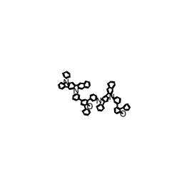 c1ccc(-n2c3ccccc3c3cc4c(cc32)c2cc3ccccc3cc2n4-c2cccc(-c3cc(-c4cccc(-n5c6ccccc6c6cc7c(cc65)c5cc6ccccc6cc5n7-c5cccc(-c6cccc7oc8ccccc8c67)c5)c4)c4oc5ccccc5c4c3)c2)cc1